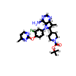 Cc1ccnc(Oc2ccc(-n3c(C4=CCN(C(=O)OC(C)(C)C)CC4)c(C)c4ncnc(N)c43)cc2F)n1